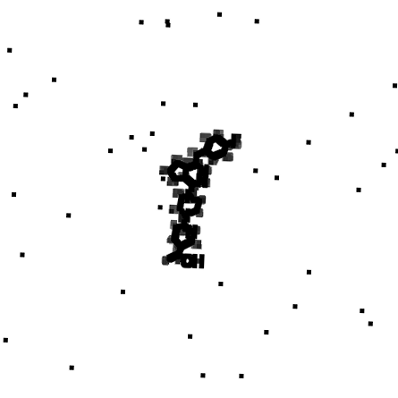 C=C(O)c1ccc(N2CCN(c3nnc(Cc4ccc(F)cc4)c4c3CCC4)CC2)nc1